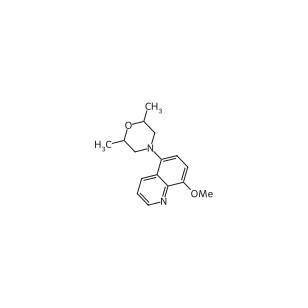 COc1ccc(N2CC(C)OC(C)C2)c2cccnc12